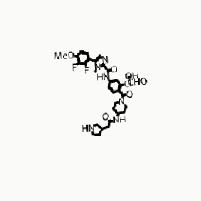 COc1ccc(-c2cnc(C(=O)Nc3ccc(C(=O)N4CCC(NC(=O)CC5CCNC5)CC4)c(Cl)c3)n2C)c(F)c1F.O=CO